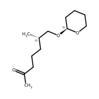 CC(=O)CCC[C@H](C)CO[C@H]1CCCCO1